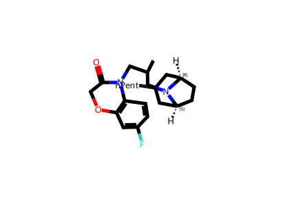 CCCCCC1C[C@H]2CC[C@@H](C1)N2CC(C)CN1C(=O)COc2cc(F)ccc21